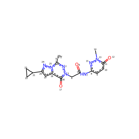 CC(C)c1nn(CC(=O)Nc2ccc(=O)n(C)n2)c(=O)c2cc(C3CC3)nn12